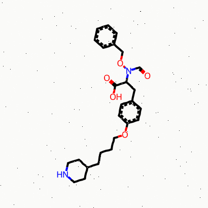 O=CN(OCc1ccccc1)C(Cc1ccc(OCCCCC2CCNCC2)cc1)C(=O)O